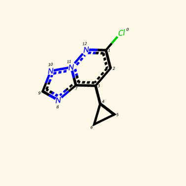 Clc1cc(C2CC2)c2ncnn2n1